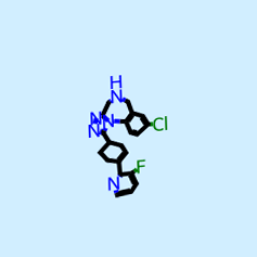 Fc1cccnc1C1=CCC(c2nnc3n2-c2ccc(Cl)cc2CNC3)CC1